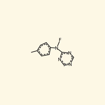 Cc1ccc(N(F)c2n[c]ncn2)cc1